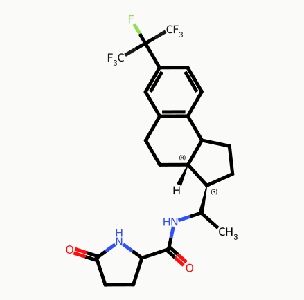 CC(NC(=O)C1CCC(=O)N1)[C@@H]1CCC2c3ccc(C(F)(C(F)(F)F)C(F)(F)F)cc3CC[C@H]21